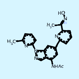 CC(=O)Nc1cc(-c2cccc(/C(C)=N/O)n2)cc2c1cnn2-c1cccc(C)n1